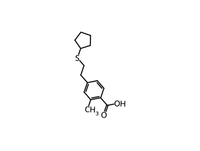 Cc1cc(CCSC2CCCC2)ccc1C(=O)O